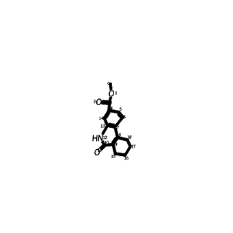 COC(=O)c1ccc2c3c(c(=O)[nH]c2c1)CCCC3